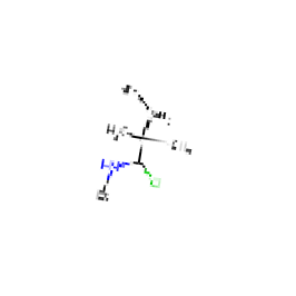 CCC[SiH2]C(C)(C)C(Cl)NCC